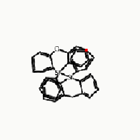 c1ccc([Si]2([Si]3(c4ccccc4)c4ccccc4Oc4ccccc43)c3ccccc3Cc3ccccc32)cc1